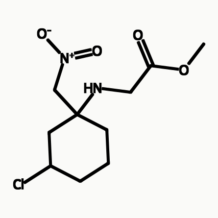 COC(=O)CNC1(C[N+](=O)[O-])CCCC(Cl)C1